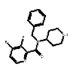 O=C(c1nccc(F)c1F)N(Cc1ccccc1)C1CCNCC1